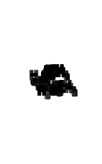 CN1c2ccccc2C(C)(C)c2cccc(-c3cccc4c(-c5cccc6c5C5(CCCC5)c5ccccc5-6)c5cccc(-c6cccc7c6N(C)c6ccccc6C7(C)C)c5cc34)c21